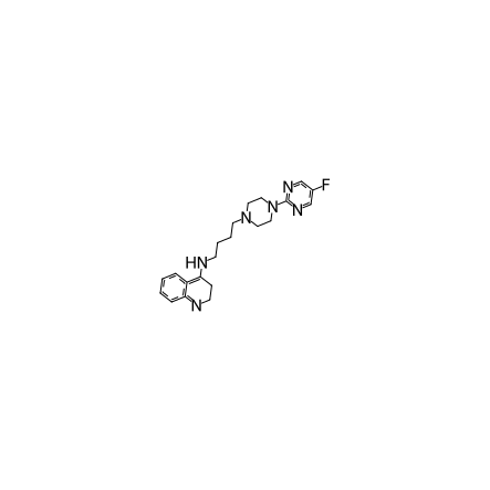 Fc1cnc(N2CCN(CCCCNC3=c4ccccc4=NCC3)CC2)nc1